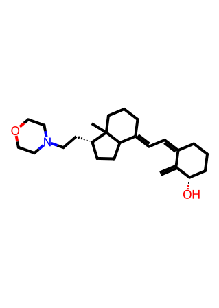 C=C1/C(=C\C=C2/CCCC3(C)C2CC[C@@H]3CCN2CCOCC2)CCC[C@@H]1O